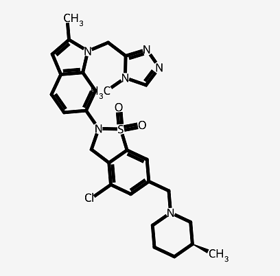 Cc1cc2ccc(N3Cc4c(Cl)cc(CN5CCC[C@H](C)C5)cc4S3(=O)=O)cc2n1Cc1nncn1C